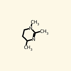 CC1=NC(C)CCN1C